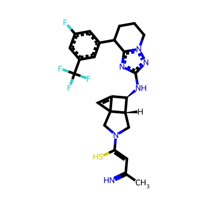 CC(=N)/C=C(\S)N1C[C@H]2[C@H](Nc3nc4n(n3)CCCC4c3cc(F)cc(C(F)(F)F)c3)C3=CC32C1